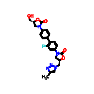 Cc1cn(C[C@H]2CN(c3ccc(-c4ccc(N5C[C@H](CO)OC5=O)cc4)c(F)c3)C(=O)O2)nn1